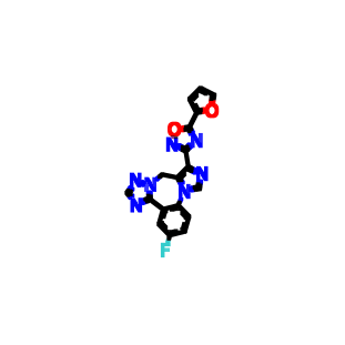 Fc1ccc2c(c1)-c1ncnn1Cc1c(-c3noc(-c4ccco4)n3)ncn1-2